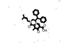 CC(C)=CCN1CC(C(c2ccccc2)c2ccccc2)n2cc(C(=O)O)c(=O)c(C)c2C1=O